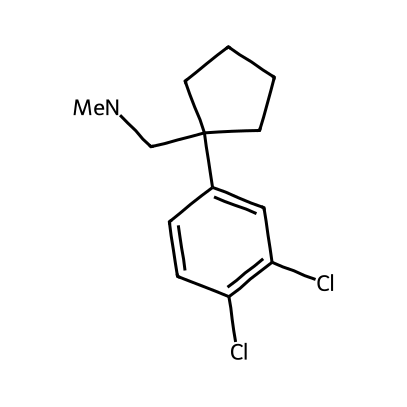 CNCC1(c2ccc(Cl)c(Cl)c2)CCCC1